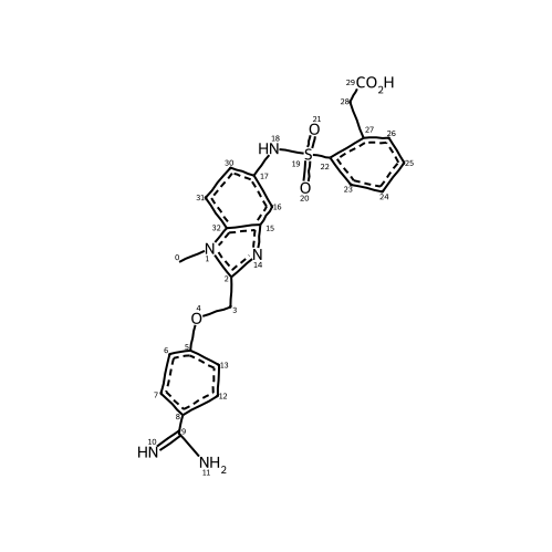 Cn1c(COc2ccc(C(=N)N)cc2)nc2cc(NS(=O)(=O)c3ccccc3CC(=O)O)ccc21